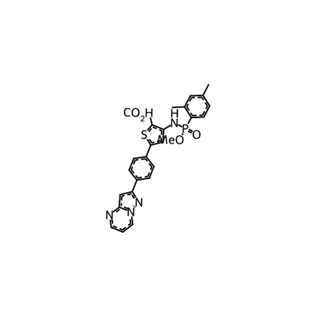 COP(=O)(Nc1cc(-c2ccc(-c3cc4ncccn4n3)cc2)sc1C(=O)O)c1ccc(C)cc1C